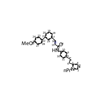 CCCn1cncc1CSc1ccc(NC(=O)/C=C/c2cccc(-c3ccc(OC)cc3)c2)cc1